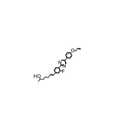 C=CCOc1ccc(-c2cnc(-c3ccc(C=CCCCC(C)O)cc3F)nc2)cc1